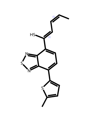 C/C=C\C=C(/S)c1ccc(-c2ccc(C)s2)c2nsnc12